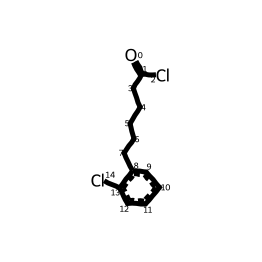 O=C(Cl)CCCCCc1ccccc1Cl